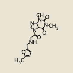 Cc1ccc(CNCC(=O)N2C=NC3C2C(=O)N(C)C(=O)N3C)o1